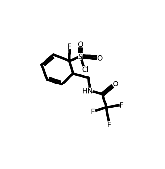 O=C(NCC1C=CC=CC1(F)S(=O)(=O)Cl)C(F)(F)F